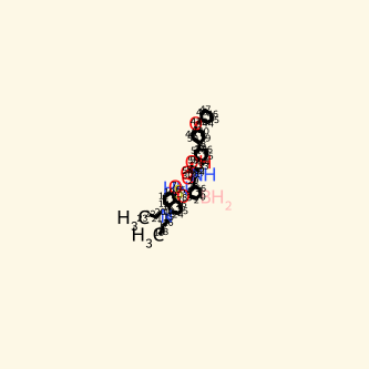 Bc1ccc(NS(=O)(=O)c2cccc3c(N(CCCC)CCCC)cccc23)c(C(=O)N[C@@H](Cc2ccc(-c3ccc(Oc4ccccc4)cc3)cc2)C(=O)O)c1